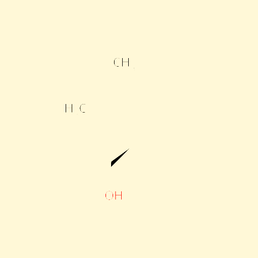 CC(C)[C@@H]1CCCC[C@H]1CO